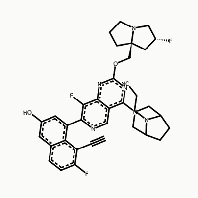 C#Cc1c(F)ccc2cc(O)cc(-c3ncc4c(N5CC6CCC(C5)N6CCC#N)nc(OC[C@@]56CCCN5C[C@H](F)C6)nc4c3F)c12